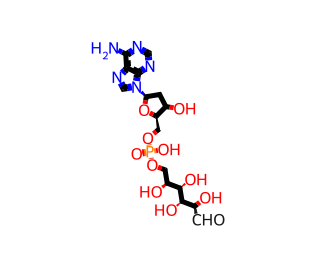 Nc1ncnc2c1ncn2[C@H]1CC(O)[C@@H](COP(=O)(O)OC[C@H](O)[C@H](O)[C@@H](O)[C@@H](O)C=O)O1